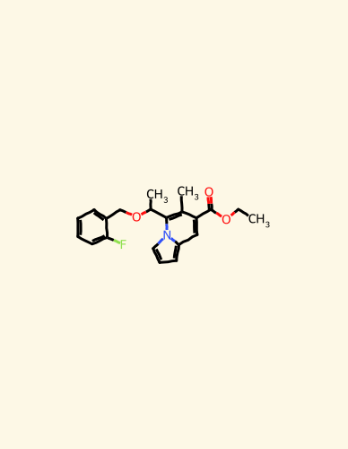 CCOC(=O)c1cc2cccn2c(C(C)OCc2ccccc2F)c1C